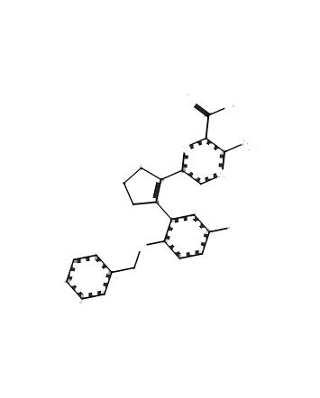 Nc1ncc(C2=C(c3cc(Cl)ccc3OCc3ccccc3)CCC2)nc1C(=O)O